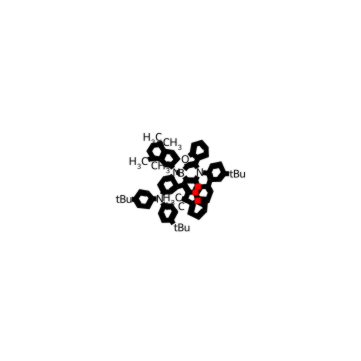 CC(C)(C)c1ccc(N(c2ccc(C(C)(C)C)cc2)c2ccc3c(c2)-c2c4c(cc5c2C(C)(C)c2ccccc2-5)N(c2ccc(C(C)(C)C)cc2-c2ccccc2)c2c(oc5ccccc25)B4N3c2ccc3c(c2)C(C)(C)CCC3(C)C)cc1